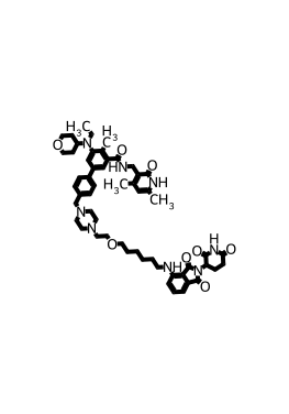 CCN(c1cc(-c2ccc(CN3CCN(CCOCCCCCCNc4cccc5c4C(=O)N(C4CCC(=O)NC4=O)C5=O)CC3)cc2)cc(C(=O)NCc2c(C)cc(C)[nH]c2=O)c1C)C1CCOCC1